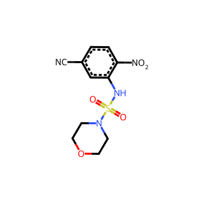 N#Cc1ccc([N+](=O)[O-])c(NS(=O)(=O)N2CCOCC2)c1